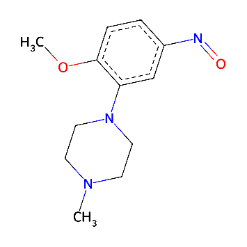 COc1ccc(N=O)cc1N1CCN(C)CC1